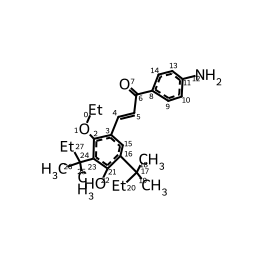 CCOc1c(/C=C/C(=O)c2ccc(N)cc2)cc(C(C)(C)CC)c(O)c1C(C)(C)CC